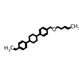 C=Cc1ccc(C2CCC(c3ccc(COCCC=CC)cc3)CC2)cc1